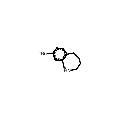 CC(C)(C)c1ccc2c(c1)CNCCCC2